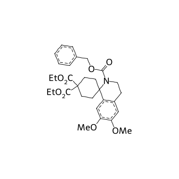 CCOC(=O)C1(C(=O)OCC)CCC2(CC1)c1cc(OC)c(OC)cc1CCN2C(=O)OCc1ccccc1